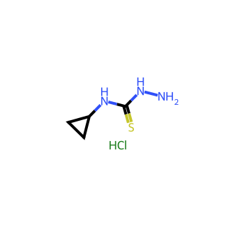 Cl.NNC(=S)NC1CC1